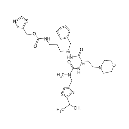 CC(C)c1nc(CN(C)C(=O)N[C@@H](CCN2CCOCC2)C(=O)N[C@H](CCCNC(=O)OCc2cncs2)Cc2ccccc2)cs1